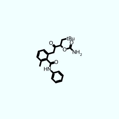 Cc1cccc(CC(=O)C(CC(C)(C)C)OC(N)=O)c1C(=O)Nc1ccccc1